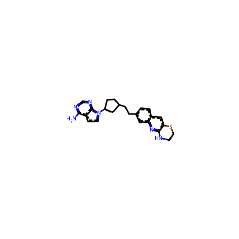 Nc1ncnc2c1ccn2C1CCC(CCc2ccc3cc4c(nc3c2)NCCS4)C1